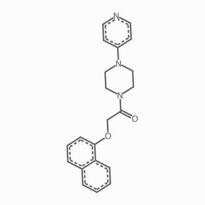 O=C(COc1cccc2ccccc12)N1CCN(c2ccncc2)CC1